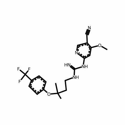 COc1cc(NC(=N)NCCC(C)(C)Oc2ccc(C(F)(F)F)cc2)ncc1C#N